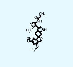 C=CC(=O)Nc1cnn(C)c1-c1n[nH]c2c1CCC1(C2)OCc2c(OC)cc(OC)c(F)c21